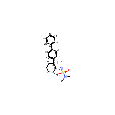 CN(C)S(=O)(=O)N[C@@H]1CCCC[C@@]1(F)c1ccc(-c2ccccc2)cc1